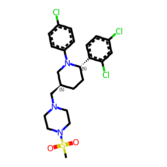 CS(=O)(=O)N1CCN(C[C@@H]2CC[C@@H](c3ccc(Cl)cc3Cl)N(c3ccc(Cl)cc3)C2)CC1